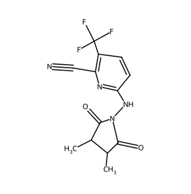 CC1C(=O)N(Nc2ccc(C(F)(F)F)c(C#N)n2)C(=O)C1C